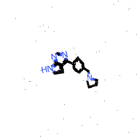 c1nc(-c2ccc(CN3CCCC3)cc2)c2cc[nH]c2n1